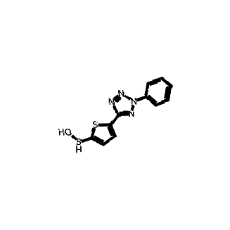 OBc1ccc(-c2nnn(-c3ccccc3)n2)s1